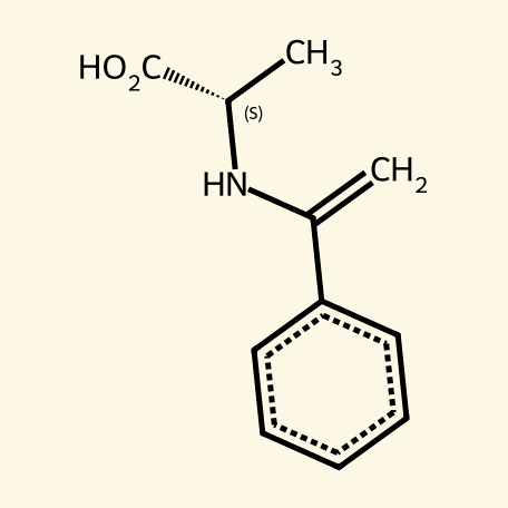 C=C(N[C@@H](C)C(=O)O)c1ccccc1